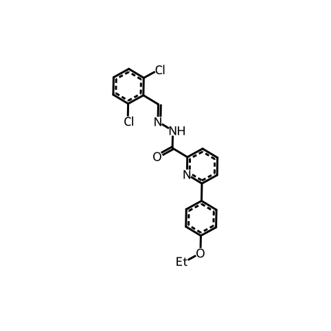 CCOc1ccc(-c2cccc(C(=O)NN=Cc3c(Cl)cccc3Cl)n2)cc1